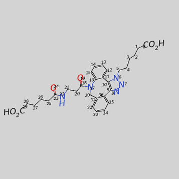 O=C(O)CCCCCn1nnc2c1-c1ccccc1N(C(=O)CCNC(=O)CCCCC(=O)O)Cc1ccccc1-2